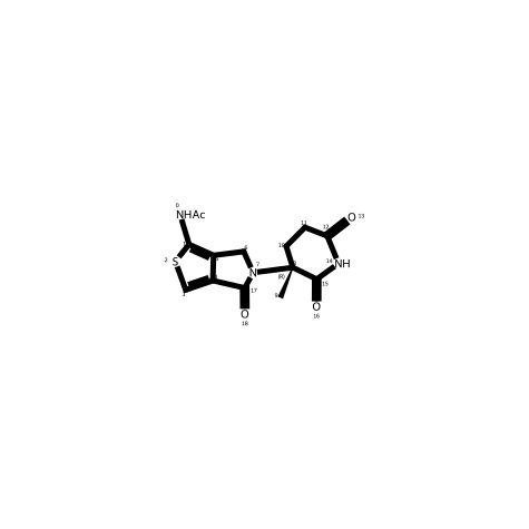 CC(=O)Nc1scc2c1CN([C@]1(C)CCC(=O)NC1=O)C2=O